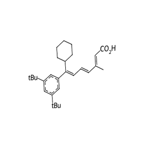 CC(C=CC=C(c1cc(C(C)(C)C)cc(C(C)(C)C)c1)C1CCCCC1)=CC(=O)O